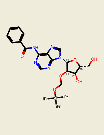 CC(C)[Si](OCO[C@@H]1[C@H](O)[C@@H](CO)O[C@H]1n1cnc2c(NC(=O)c3ccccc3)ncnc21)(C(C)C)C(C)C